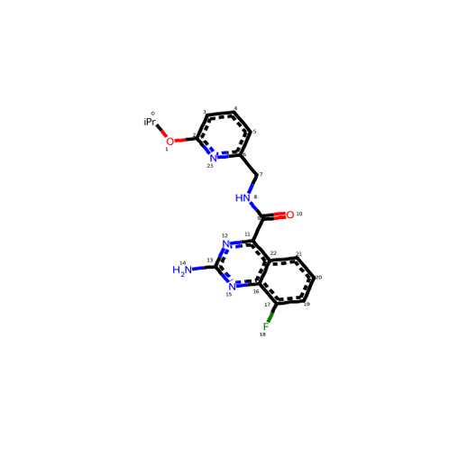 CC(C)Oc1cccc(CNC(=O)c2nc(N)nc3c(F)cccc23)n1